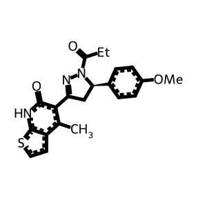 CCC(=O)N1N=C(c2c(C)c3ccsc3[nH]c2=O)C[C@@H]1c1ccc(OC)cc1